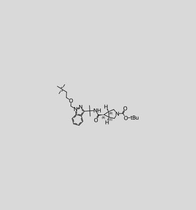 CC(C)(C)OC(=O)N1C[C@@H]2[C@H](C1)[C@H]2C(=O)NC(C)(C)c1nn(COCCS(C)(C)C)c2ccccc12